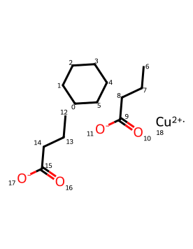 C1CCCCC1.CCCC(=O)[O-].CCCC(=O)[O-].[Cu+2]